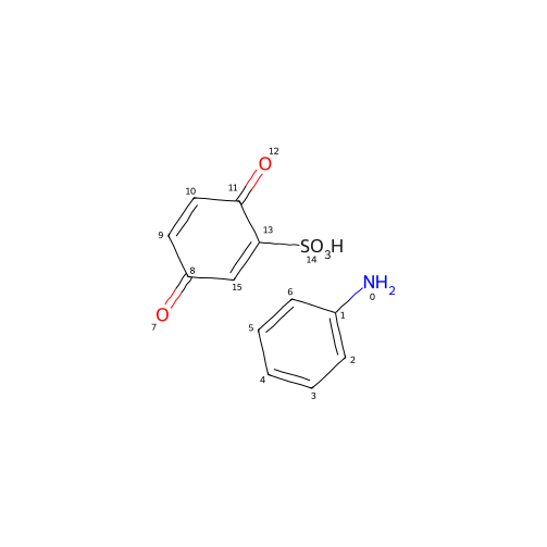 Nc1ccccc1.O=C1C=CC(=O)C(S(=O)(=O)O)=C1